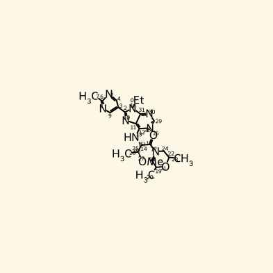 CCn1c(-c2cnc(C)nc2)nc2c(N[C@H](C(=O)N3CC(C)OC(C)C3)[C@H](C)OC)ncnc21